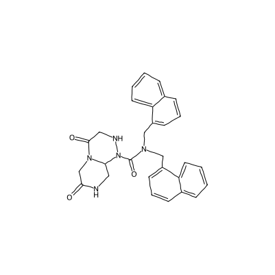 O=C1CN2C(=O)CNN(C(=O)N(Cc3cccc4ccccc34)Cc3cccc4ccccc34)C2CN1